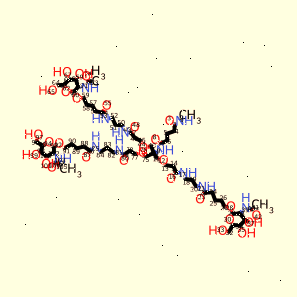 CNC(=O)CCCC(=O)NC(COCCC(=O)NCCCNC(=O)CCCCO[C@@H]1OC(CO)[C@H](O)C(O)C1NC(C)=O)(COCCC(=O)NCCCNC(=O)CCCCO[C@@H]1OC(CO)[C@H](O)C(O)[C@@H]1NC(C)=O)COCCC(=O)NCCCNC(=O)CCCCO[C@@H]1OC(CO)[C@H](O)C(O)[C@@H]1NC(C)=O